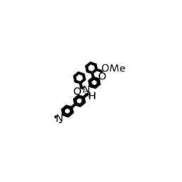 [2H][C@H](c1ccc(-c2ccc(N(C)C)cc2)cc1)N(C(=O)C1CCCCC1)c1cccc(C2CCCCC2C(=O)OC)c1